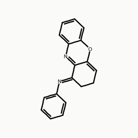 C1=C2Oc3ccccc3N=C2C(=Nc2ccccc2)CC1